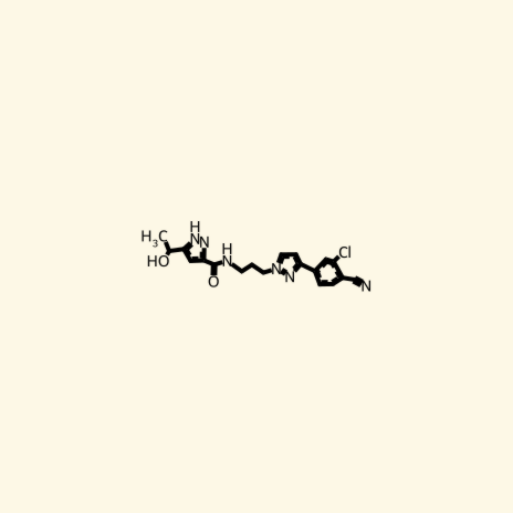 CC(O)c1cc(C(=O)NCCCn2ccc(-c3ccc(C#N)c(Cl)c3)n2)n[nH]1